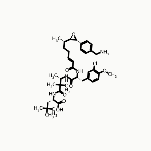 COc1ccc(C[C@@H](NC(=O)/C=C/CC[C@H](C)[C@H]2O[C@@H]2c2ccc(CN)cc2)C(=O)N[C@@H](C)C(C)(C)C(=O)N[C@@H](CC(C)(C)C)C(=O)O)cc1Cl